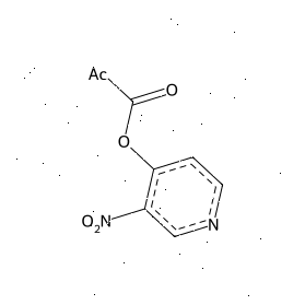 CC(=O)C(=O)Oc1ccncc1[N+](=O)[O-]